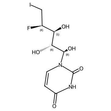 O=c1ccn([C@H](O)[C@H](O)[C@H](O)[C@@H](F)CI)c(=O)[nH]1